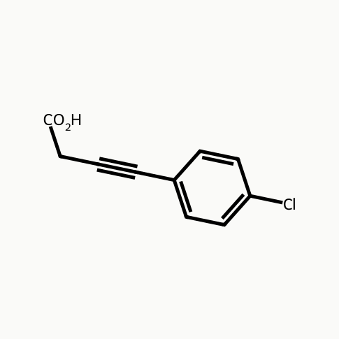 O=C(O)CC#Cc1ccc(Cl)cc1